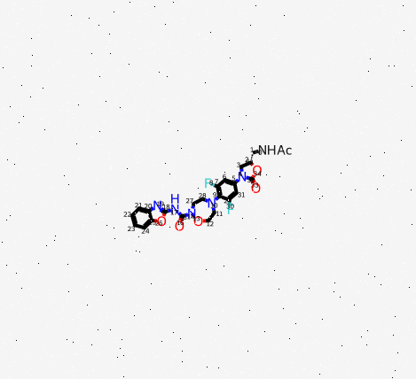 CC(=O)NC[C@H]1CN(c2cc(F)c(N3CCON(C(=O)Nc4nc5ccccc5o4)CC3)c(F)c2)C(=O)O1